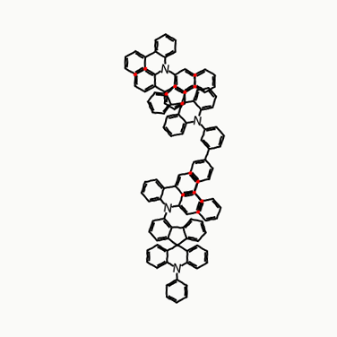 c1ccc(-c2cccc(-c3ccccc3N(c3cccc(-c4ccc(-c5cccc(N6c7ccccc7C7(c8ccccc8-c8c(N(c9ccccc9-c9ccccc9)c9ccccc9-c9cccc(-c%10ccccc%10)c9)cccc87)c7ccccc76)c5)cc4)c3)c3cccc4c3-c3ccccc3C43c4ccccc4N(c4ccccc4)c4ccccc43)c2)cc1